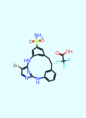 NS(=O)(=O)c1cc2cc(c1)Nc1nc(ncc1Br)Nc1cccc(c1)CC2.O=C(O)C(F)(F)F